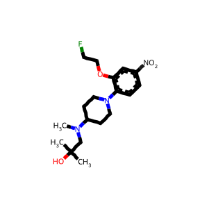 CN(CC(C)(C)O)C1CCN(c2ccc([N+](=O)[O-])cc2OCCF)CC1